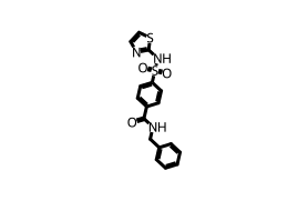 O=C(NCc1ccccc1)c1ccc(S(=O)(=O)Nc2nccs2)cc1